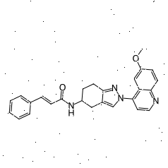 COc1ccc2nccc(-n3cc4c(n3)CCC(NC(=O)C=Cc3ccccc3)C4)c2c1